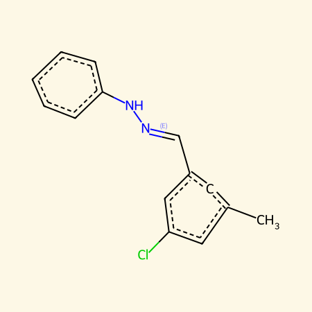 Cc1cc(Cl)cc(/C=N/Nc2ccccc2)c1